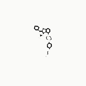 COCCOc1ccc(N2CCN(c3cccc4c3-c3nc(N)nc(-c5ccccc5)c3C4=O)CC2)cc1